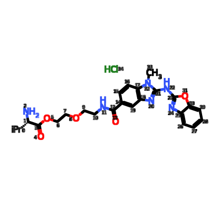 CC(C)[C@H](N)C(=O)OCCOCCNC(=O)c1ccc2c(c1)nc(Nc1nc3ccccc3o1)n2C.Cl